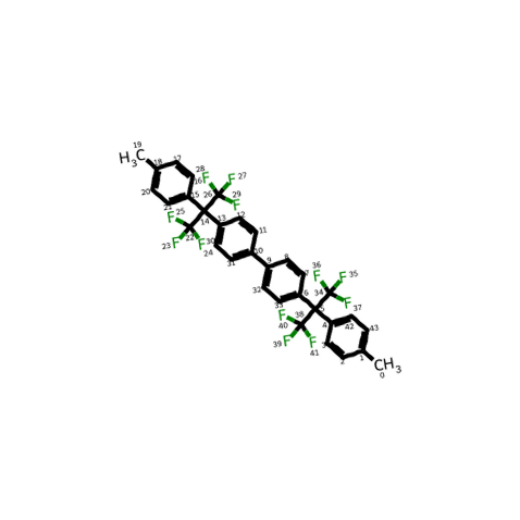 Cc1ccc(C(c2ccc(-c3ccc(C(c4ccc(C)cc4)(C(F)(F)F)C(F)(F)F)cc3)cc2)(C(F)(F)F)C(F)(F)F)cc1